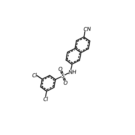 N#Cc1ccc2cc(NS(=O)(=O)c3cc(Cl)cc(Cl)c3)ccc2c1